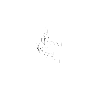 CCN1CCN(C(=O)N[C@@H](C(=O)N[C@@H]2C(=O)N(S(=O)(=O)[O-])C2OC(=O)c2cn(C3CC3)c3cc(N4CCNCC4)c(F)cc3c2=O)c2ccc(O)cc2)C(=O)C1=O.[Na+]